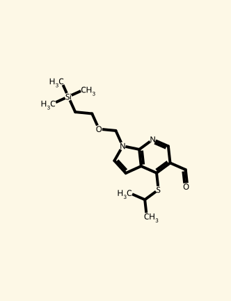 CC(C)Sc1c(C=O)cnc2c1ccn2COCC[Si](C)(C)C